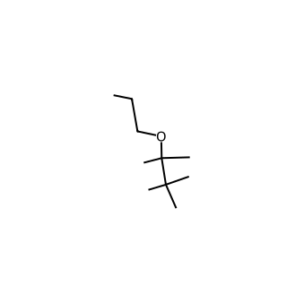 CCCOC(C)(C)C(C)(C)C